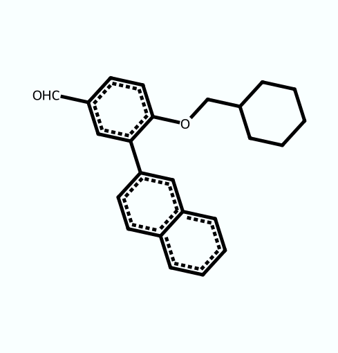 O=Cc1ccc(OCC2CCCCC2)c(-c2ccc3ccccc3c2)c1